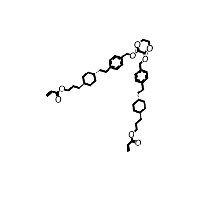 C=CC(=O)OCCC[C@H]1CC[C@H](CCc2ccc(CO[C@H]3OCCO[C@@H]3OCc3ccc(CC[C@H]4CC[C@H](CCCOC(=O)C=C)CC4)cc3)cc2)CC1